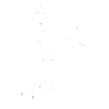 C=N/C=C(\C=C(/C)C#N)COc1cc(O[C@H]2CCc3c(-c4ccccc4F)cccc32)c(Cl)cc1CNC(C)C(=O)c1ccc(O)c(O)c1